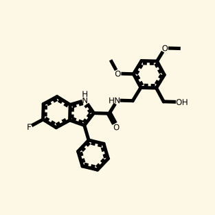 COc1cc(CO)c(CNC(=O)c2[nH]c3ccc(F)cc3c2-c2ccccc2)c(OC)c1